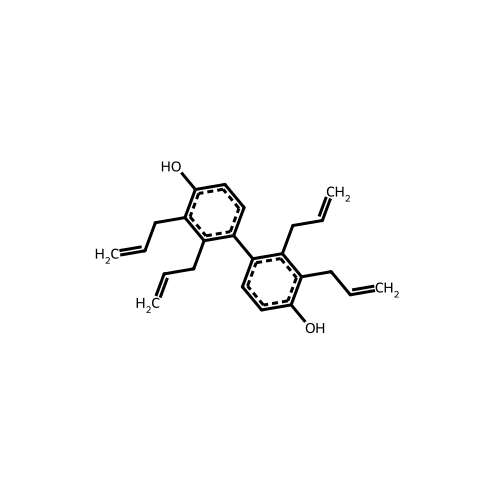 C=CCc1c(O)ccc(-c2ccc(O)c(CC=C)c2CC=C)c1CC=C